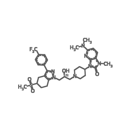 CN(C)c1ccc2c(n1)n(C1CCN(C[C@H](O)Cn3nc(-c4ccc(C(F)(F)F)cc4)c4c3CCC(S(C)(=O)=O)C4)CC1)c(=O)n2C